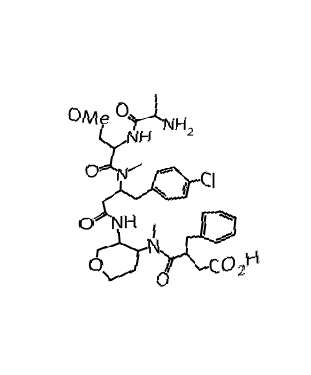 COCC(NC(=O)C(C)N)C(=O)N(C)C(CC(=O)NC1COCCC1N(C)C(=O)C(CC(=O)O)Cc1ccccc1)Cc1ccc(Cl)cc1